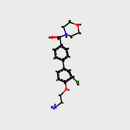 NCCOc1ccc(-c2ccc(C(=O)N3CCOCC3)cc2)cc1Cl